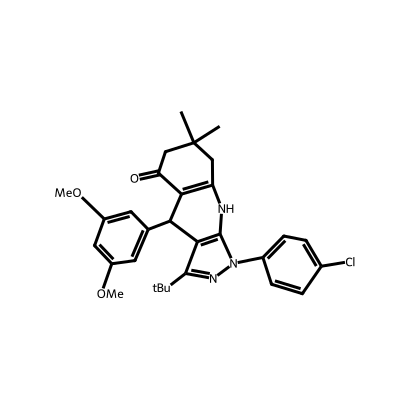 COc1cc(OC)cc(C2C3=C(CC(C)(C)CC3=O)Nc3c2c(C(C)(C)C)nn3-c2ccc(Cl)cc2)c1